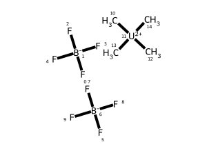 F[B-](F)(F)F.F[B-](F)(F)F.[CH3][U+2]([CH3])([CH3])[CH3]